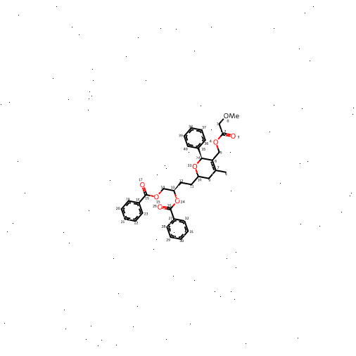 COCC(=O)OCC1=C(C)CC(CC[C@H](COC(=O)c2ccccc2)OC(=O)c2ccccc2)O[C@H]1c1ccccc1